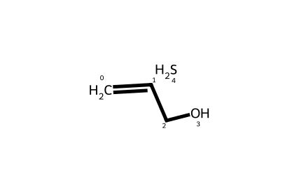 C=CCO.S